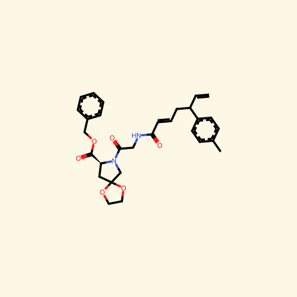 C=CC(C/C=C/C(=O)NCC(=O)N1CC2(C[C@H]1C(=O)OCc1ccccc1)OCCO2)c1ccc(C)cc1